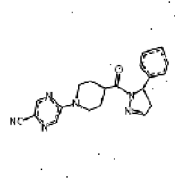 N#Cc1cnc(N2CCC(C(=O)N3N=CCC3c3ccccc3)CC2)cn1